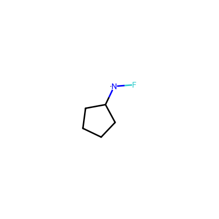 F[N]C1CCCC1